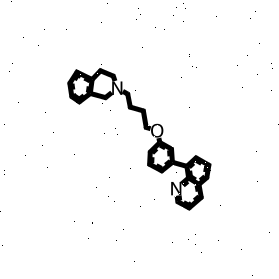 c1cc(OCCCCN2CCc3ccccc3C2)cc(-c2cccc3cccnc23)c1